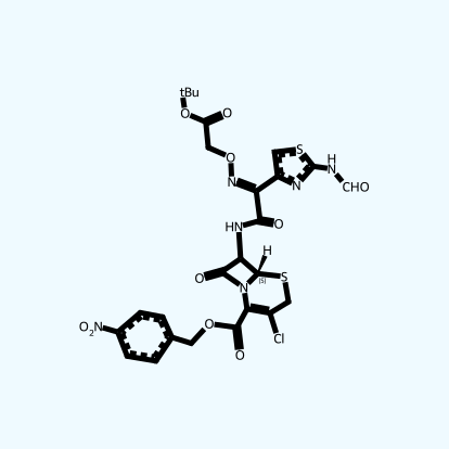 CC(C)(C)OC(=O)CON=C(C(=O)NC1C(=O)N2C(C(=O)OCc3ccc([N+](=O)[O-])cc3)=C(Cl)CS[C@@H]12)c1csc(NC=O)n1